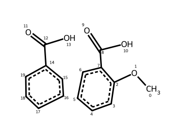 COc1ccccc1C(=O)O.O=C(O)c1ccccc1